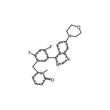 Cn1c(Cc2cc(-c3ncnc4cc(N5CCOCC5)ccc34)c(F)cc2F)cccc1=O